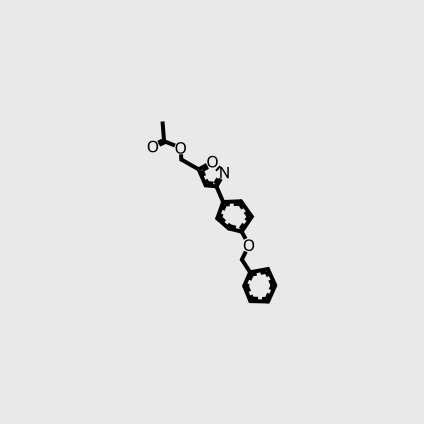 CC(=O)OCc1cc(-c2ccc(OCc3ccccc3)cc2)no1